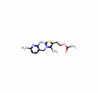 CC(=O)OCCc1sc[n+](Cc2ccc(C)nc2N)c1C